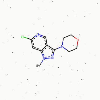 CC(C)n1nc(N2CCOCC2)c2cnc(Cl)cc21